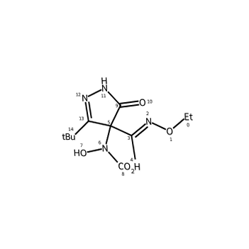 CCON=C(C)C1(N(O)C(=O)O)C(=O)NN=C1C(C)(C)C